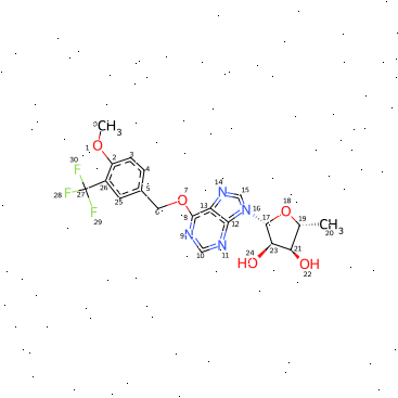 COc1ccc(COc2ncnc3c2ncn3[C@@H]2O[C@H](C)[C@@H](O)[C@H]2O)cc1C(F)(F)F